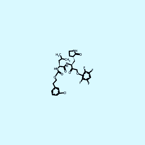 CC(C)C[C@H](NC(=O)OCCc1cccc(Cl)c1)C(=O)N[C@@H](C[C@@H]1CCNC1=O)C(=O)COc1c(F)c(F)cc(F)c1F